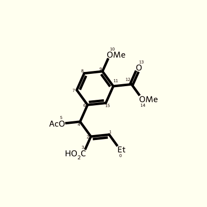 CCC=C(C(=O)O)C(OC(C)=O)c1ccc(OC)c(C(=O)OC)c1